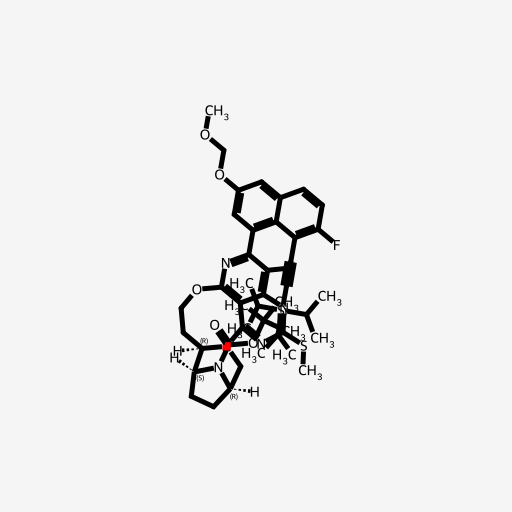 COCOc1cc(-c2nc3c4c(nc(SC)nc4c2F)N2C[C@H]4CC[C@@H]([C@H]2CCO3)N4C(=O)OC(C)(C)C)c2c(C#C[Si](C(C)C)(C(C)C)C(C)C)c(F)ccc2c1